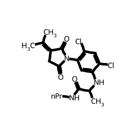 CCCNC(=O)C(C)Nc1cc(N2C(=O)CC(=C(C)C)C2=O)c(Cl)cc1Cl